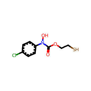 O=C(OCCS)N(O)c1ccc(Cl)cc1